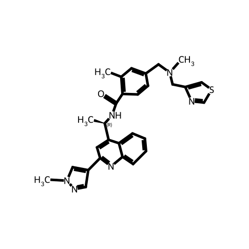 Cc1cc(CN(C)Cc2cscn2)ccc1C(=O)N[C@H](C)c1cc(-c2cnn(C)c2)nc2ccccc12